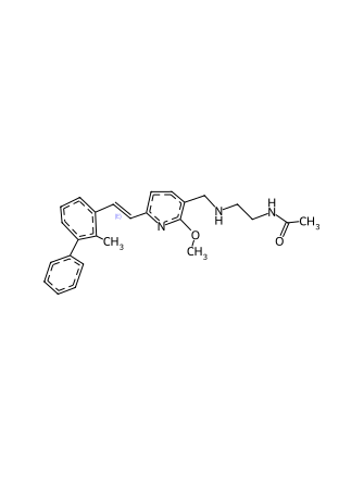 COc1nc(/C=C/c2cccc(-c3ccccc3)c2C)ccc1CNCCNC(C)=O